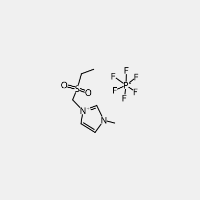 CCS(=O)(=O)C[n+]1ccn(C)c1.F[P-](F)(F)(F)(F)F